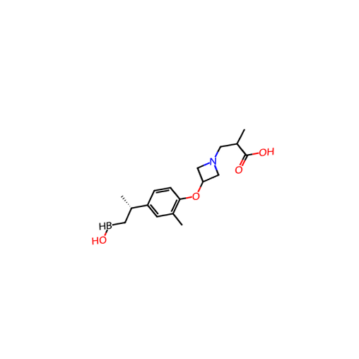 Cc1cc([C@@H](C)CBO)ccc1OC1CN(CC(C)C(=O)O)C1